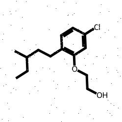 CCC(C)CCc1ccc(Cl)cc1OCCO